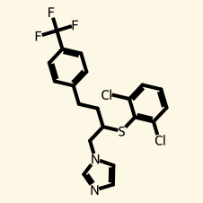 FC(F)(F)c1ccc(CCC(Cn2ccnc2)Sc2c(Cl)cccc2Cl)cc1